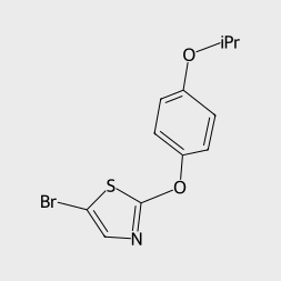 CC(C)Oc1ccc(Oc2ncc(Br)s2)cc1